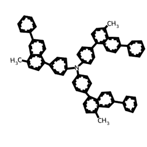 Cc1ccc(-c2ccc(N(c3ccc(-c4ccc(C)c5cc(-c6ccccc6)ccc45)cc3)c3ccc(-c4ccc(C)c5cc(-c6ccccc6)ccc45)cc3)cc2)c2ccc(-c3ccccc3)cc12